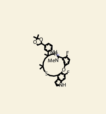 CN/C1=N\C(=N)C(C)(c2cccc(C3COC(C)(C)O3)c2)CCC(C)(C)CSCCc2c(c(F)cc3[nH]ccc23)Oc2ccc(F)c1c2